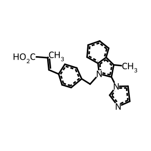 CC(=Cc1ccc(Cn2c(-n3ccnc3)c(C)c3ccccc32)cc1)C(=O)O